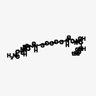 CCCn1/c(=N/C(=O)c2cccc(C(N)=O)c2)[nH]c2ccc(/C=C/C(=O)NCCCOCCOCCOCCOCCOCCCNC(=O)c3ccc(/N=N/c4cc(CCNC(=O)OC(C)(C)C)ccc4O)cc3)cc21